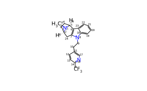 CN1[C@@H]2CC[C@H]1c1c(n(CCc3ccc(C(F)(F)F)nc3)c3ccccc13)C2